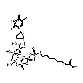 CCCC(=O)NCCCCCCOP(=O)(O)OP(=O)(O)OP(=O)(O)OP(=O)(O)OP(=O)(O)OP(=O)(O)OC[C@H]1O[C@@H](n2cc(C)c(=O)[nH]c2=O)C[C@H]1O